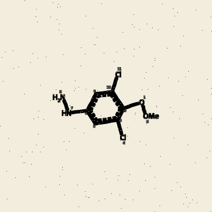 COOc1c(Cl)cc(NN)cc1Cl